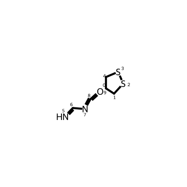 C1CSSC1.N=CN=C=O